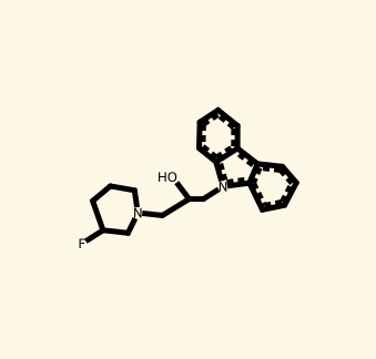 OC(CN1CCCC(F)C1)Cn1c2ccccc2c2ccccc21